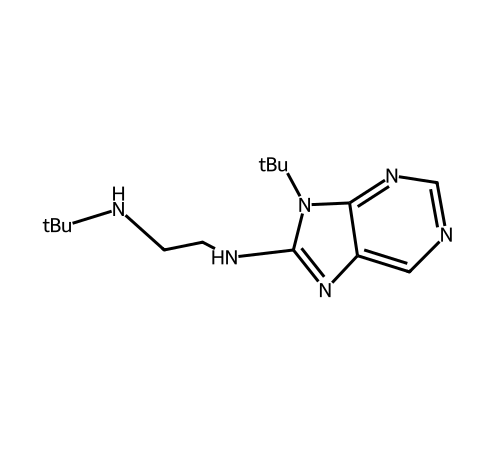 CC(C)(C)NCCNc1nc2cncnc2n1C(C)(C)C